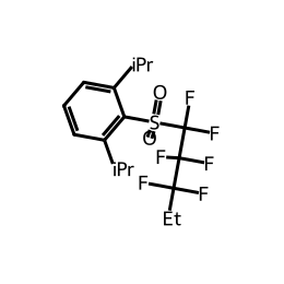 CCC(F)(F)C(F)(F)C(F)(F)S(=O)(=O)c1c(C(C)C)cccc1C(C)C